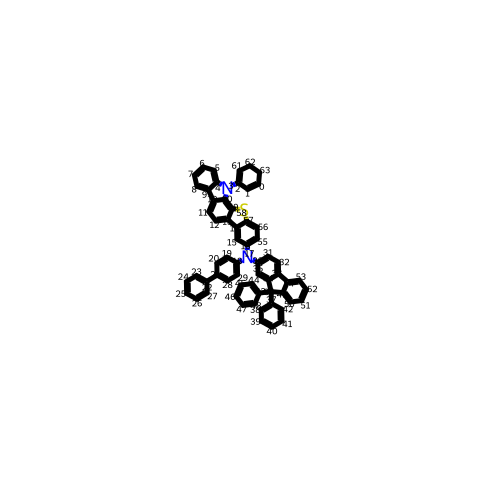 C1=CC(n2c3ccccc3c3ccc4c5cc(N(c6ccc(-c7ccccc7)cc6)c6ccc7c(c6)C(c6ccccc6)(c6ccccc6)c6ccccc6-7)ccc5sc4c32)=CCC1